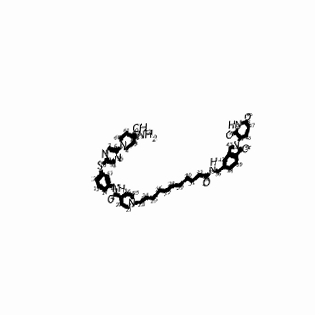 CC1(N)CCN(c2cnc(Sc3cccc(NC(=O)C4CCN(CCCCCCCCCCC(=O)NCc5ccc6c(c5)CN(C5CCC(=O)NC5=O)C6=O)CC4)c3)cn2)CC1